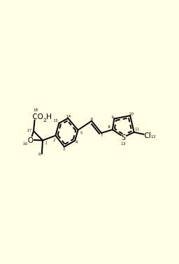 CC1(c2ccc(C=Cc3ccc(Cl)s3)cc2)OC1C(=O)O